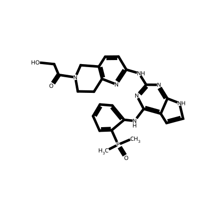 CP(C)(=O)c1ccccc1Nc1nc(Nc2ccc3c(n2)CCN(C(=O)CO)C3)nc2[nH]ccc12